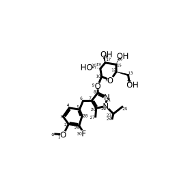 COc1ccc(Cc2c(OC3O[C@H](CO)[C@@H](O)[C@H](O)[C@H]3O)nn(C(C)C)c2C)cc1F